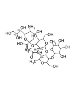 CC(=O)N[C@@H]1C(C)OC(CO)C(OC2OC(C)C(O)C(O)C2O)C1OC1OC(CO)C(O)C(OC2(C(=O)O)CC(O)C(N)C([C@@H](O)[C@@H](O)CO)O2)[C@@H]1O